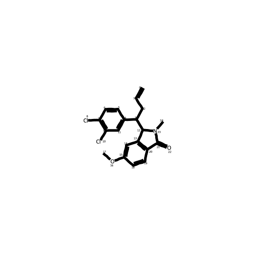 C=CCC(c1ccc(Cl)c(Cl)c1)C1c2cc(OC)ccc2C(=O)N1C